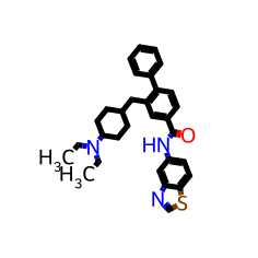 CCN(CC)C1CCC(Cc2cc(C(=O)Nc3ccc4scnc4c3)ccc2-c2ccccc2)CC1